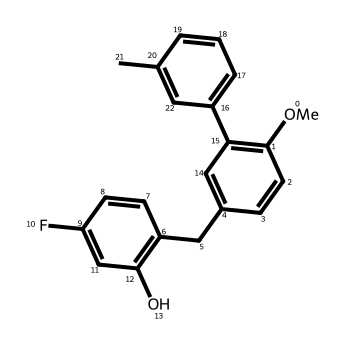 COc1ccc(Cc2ccc(F)cc2O)cc1-c1cccc(C)c1